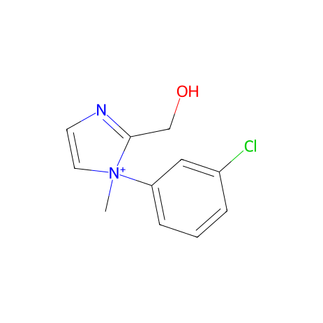 C[N+]1(c2cccc(Cl)c2)C=CN=C1CO